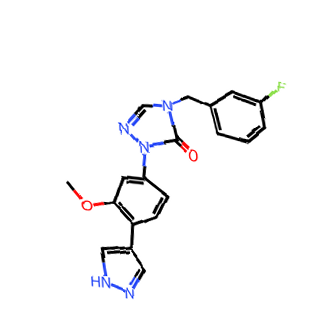 COc1cc(-n2ncn(Cc3cccc(F)c3)c2=O)ccc1-c1cn[nH]c1